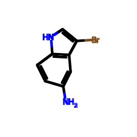 Nc1ccc2[nH]cc(Br)c2c1